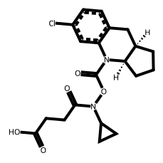 O=C(O)CCC(=O)N(OC(=O)N1c2cc(Cl)ccc2C[C@H]2CCC[C@H]21)C1CC1